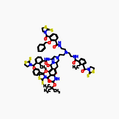 Cc1c(C(=O)NCCN(CCNC(=O)c2cccc(C(=O)N3CCSC3=S)c2OCc2ccccc2)CCN(CCNC(=O)c2cccc(C(=O)N3CCSC3=S)c2C)CC(CCCCNC(=O)OC(C)(C)C)NC(=O)c2cccc(C(=O)N3CCSC3=S)c2OCc2ccccc2)cccc1C(=O)N1CCSC1=S